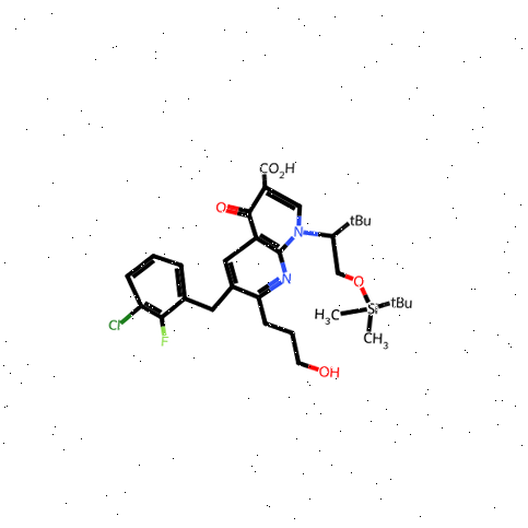 CC(C)(C)C(CO[Si](C)(C)C(C)(C)C)n1cc(C(=O)O)c(=O)c2cc(Cc3cccc(Cl)c3F)c(CCCO)nc21